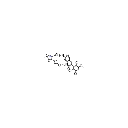 CNc1ncc2cc(-c3c(Cl)c(OC)cc(OC)c3Cl)c(=O)n(CCOC3CN(C(=O)/C(C#N)=C\C(C)(C)C)C3)c2n1